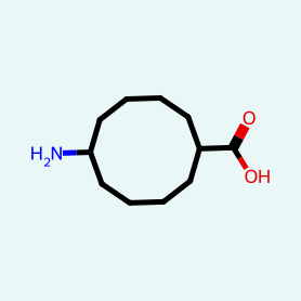 NC1CCCCC(C(=O)O)CCCC1